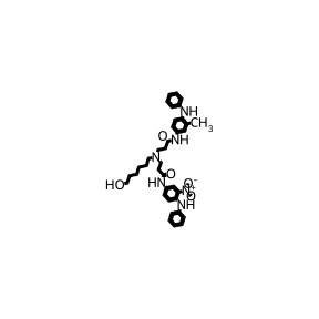 Cc1cc(NC(=O)CCN(CCCCCCO)CCC(=O)Nc2ccc(Nc3ccccc3)c([N+](=O)[O-])c2)ccc1Nc1ccccc1